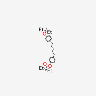 CCC(C)(CC)Oc1ccc(CCCCCc2ccc(OC(=O)C(C)(CC)CC)cc2)cc1